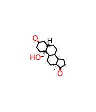 C[C@]12CCC3C(CC[C@H]4CC(=O)CC[C@]34CO)C1CCC2=O